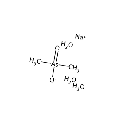 C[As](C)(=O)[O-].O.O.O.[Na+]